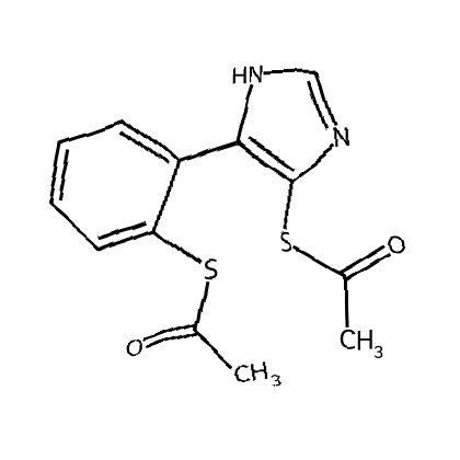 CC(=O)Sc1ccccc1-c1[nH]cnc1SC(C)=O